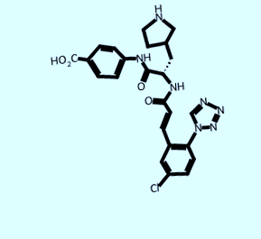 O=C(C=Cc1cc(Cl)ccc1-n1cnnn1)N[C@@H](CC1CCNC1)C(=O)Nc1ccc(C(=O)O)cc1